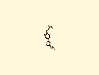 NOCc1ccc(-c2cc(N)cs2)cn1